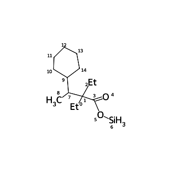 CCC(CC)(C(=O)O[SiH3])C(C)C1CCCCC1